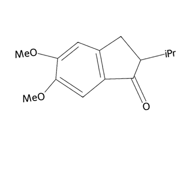 COc1cc2c(cc1OC)C(=O)C(C(C)C)C2